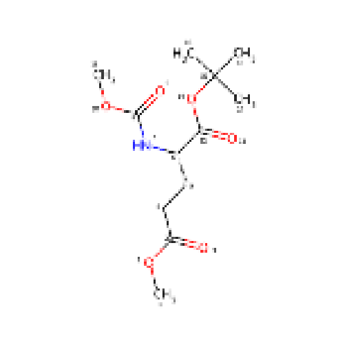 COC(=O)CC[C@H](NC(=O)OC)C(=O)OC(C)(C)C